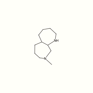 CN1CCCC2CCCCNC2C1